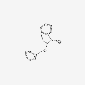 O=C1c2ccccc2CC1Oc1ccccc1